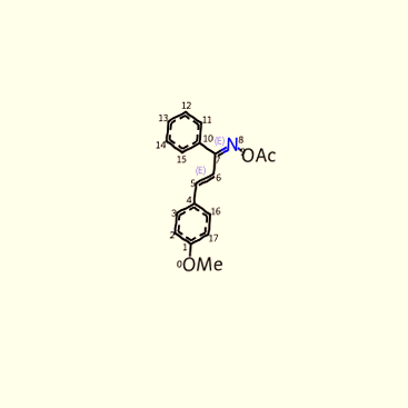 COc1ccc(/C=C/C(=N\OC(C)=O)c2ccccc2)cc1